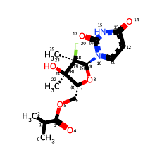 CC(C)C(=O)OC[C@H]1O[C@H](n2ccc(=O)[nH]c2=O)[C@](C)(F)[C@]1(C)O